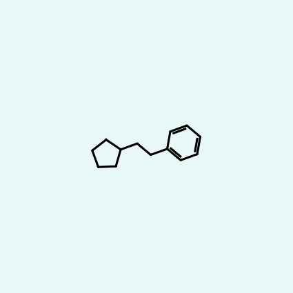 [CH]1CCCC1CCc1ccccc1